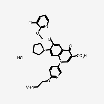 CNCCOc1ccc(-n2cc(C(=O)O)c(=O)c3cc(Cl)c(N4CCC[C@@H]4COc4ncccc4Cl)cc32)cn1.Cl